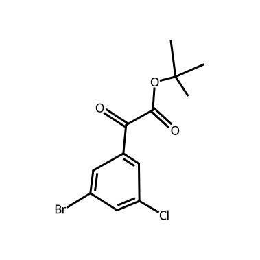 CC(C)(C)OC(=O)C(=O)c1cc(Cl)cc(Br)c1